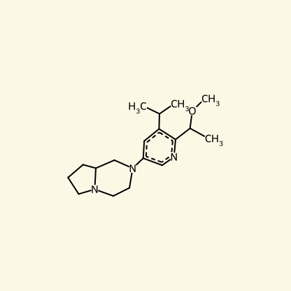 COC(C)c1ncc(N2CCN3CCCC3C2)cc1C(C)C